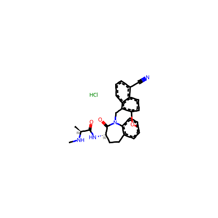 CN[C@@H](C)C(=O)N[C@H]1CCc2ccccc2N(Cc2c(OC)ccc3c(C#N)cccc23)C1=O.Cl